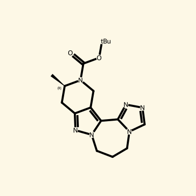 C[C@@H]1Cc2nn3c(c2CN1C(=O)OC(C)(C)C)-c1nncn1CCC3